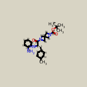 Cc1ccc(C[C@H](Nc2ccccc2N)C(=O)N2CC3(CN(C(=O)OC(C)(C)C)C3)C2)cc1